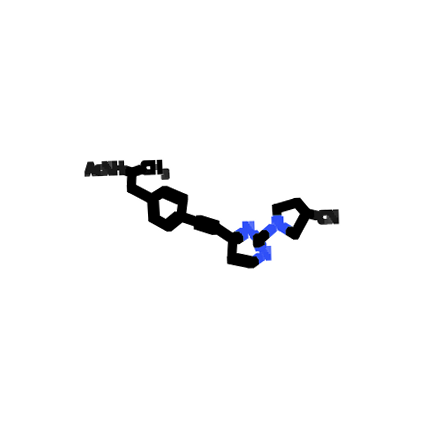 CC(=O)NC(C)Cc1ccc(C#Cc2ccnc(N3CCC(C#N)C3)n2)cc1